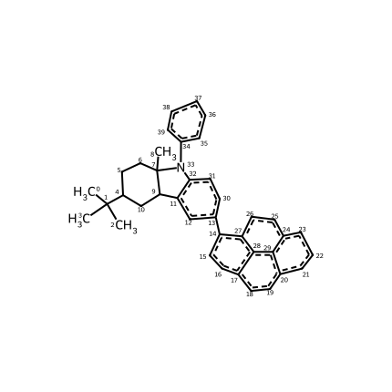 CC(C)(C)C1CCC2(C)C(C1)c1cc(-c3ccc4ccc5cccc6ccc3c4c56)ccc1N2c1ccccc1